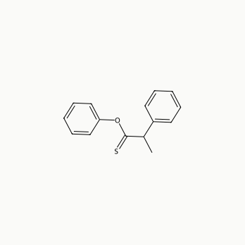 CC(C(=S)Oc1ccccc1)c1ccccc1